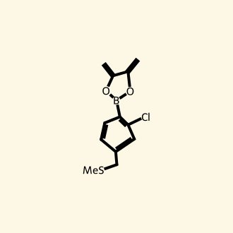 C=C1OB(c2ccc(CSC)cc2Cl)OC1=C